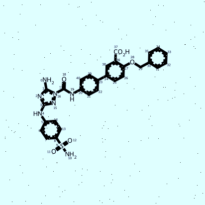 Nc1nc(Nc2ccc(S(N)(=O)=O)cc2)nn1C(=O)Nc1ccc(-c2ccc(OCc3ccccc3)c(C(=O)O)c2)cc1